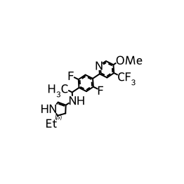 CC[C@H]1CC(NC(C)c2cc(F)c(-c3cc(C(F)(F)F)c(OC)cn3)cc2F)=CN1